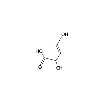 CC(C=CO)C(=O)O